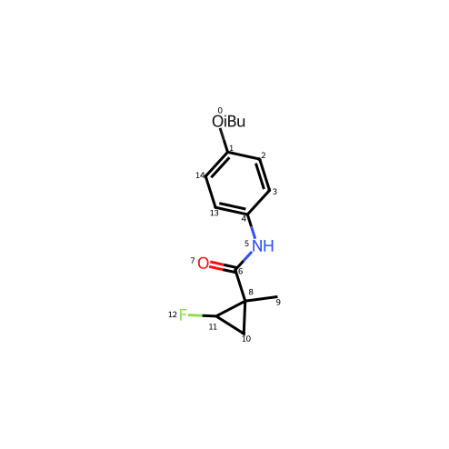 CC(C)COc1ccc(NC(=O)C2(C)CC2F)cc1